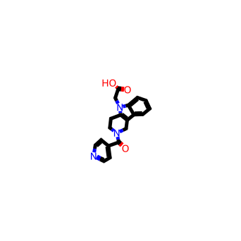 O=C(O)Cn1c2c(c3ccccc31)CN(C(=O)c1ccncc1)CC2